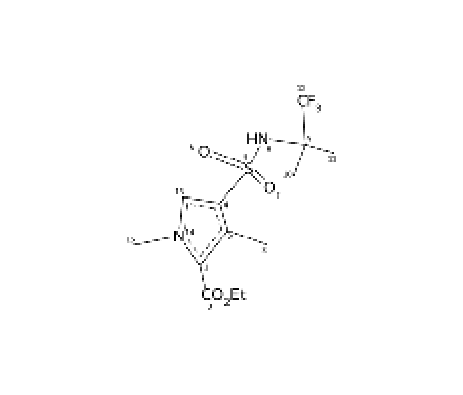 CCOC(=O)c1c(C)c(S(=O)(=O)NC(C)(C)C(F)(F)F)cn1C